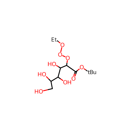 CCOOOC(C(=O)OC(C)(C)C)C(O)C(O)C(O)CO